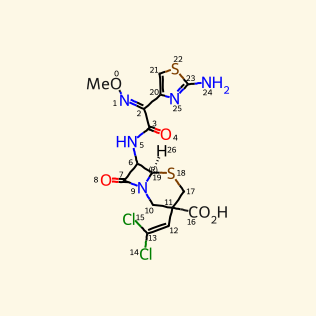 CON=C(C(=O)NC1C(=O)N2CC(C=C(Cl)Cl)(C(=O)O)CS[C@H]12)c1csc(N)n1